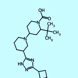 CC(C)(C)C1CC(N2CCCC(c3nc(C4CCC4)n[nH]3)C2)CCN1C(=O)O